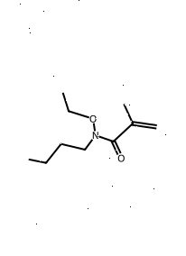 C=C(C)C(=O)N(CCCC)OCC